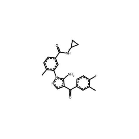 Cc1cc(C(=O)c2cnn(-c3cc(C(=O)NC4CC4)ccc3C)c2N)ccc1F